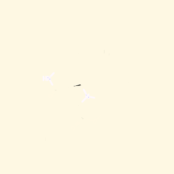 CCc1cc2c(cc1Cl)NC(=O)[C@]21CN2C(C(=O)O[C@@H](c3ccccc3)[C@H]2c2ccccc2)[C@@H]1c1cccc(Cl)c1